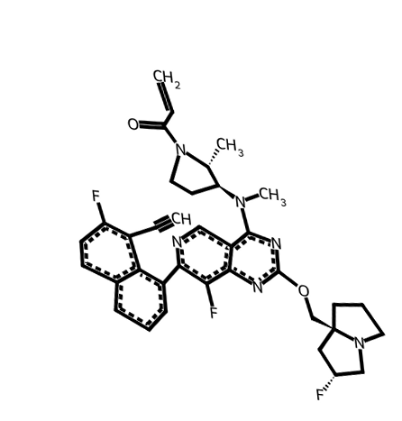 C#Cc1c(F)ccc2cccc(-c3ncc4c(N(C)[C@H]5CCN(C(=O)C=C)[C@@H]5C)nc(OC[C@@]56CCCN5C[C@H](F)C6)nc4c3F)c12